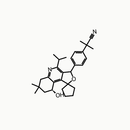 CC(C)c1nc2c(c3c1C(c1ccc(C(C)(C)C#N)cc1)OC31CCCC1)[C@@H](O)CC(C)(C)C2